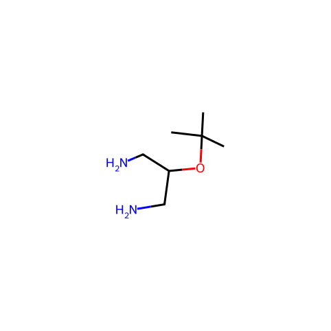 CC(C)(C)OC(CN)CN